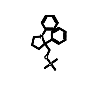 C[Si](C)(C)OCC1(c2ccccc2)CCCN1c1ccccc1